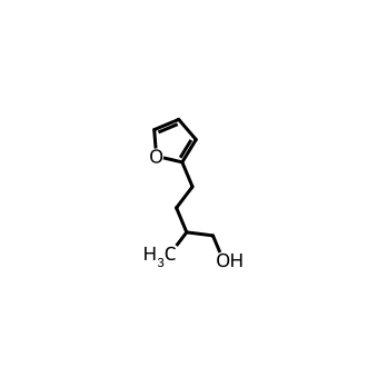 CC(CO)CCc1ccco1